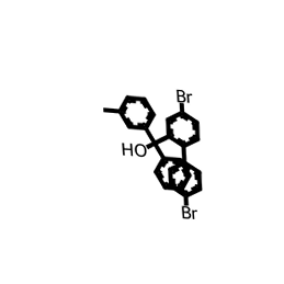 Cc1cccc(C(O)(c2ccccc2)c2cc(Br)ccc2-c2ccc(Br)cc2)c1